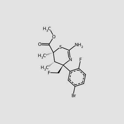 COC(=O)[C@@]1(C)SC(N)=N[C@](CF)(c2cc(Br)ccc2F)[C@@H]1C